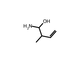 C=CC(C)C(N)O